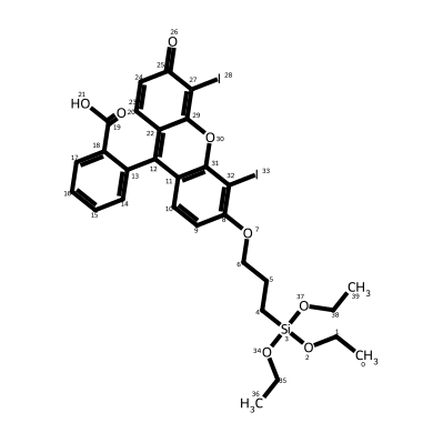 CCO[Si](CCCOc1ccc2c(-c3ccccc3C(=O)O)c3ccc(=O)c(I)c-3oc2c1I)(OCC)OCC